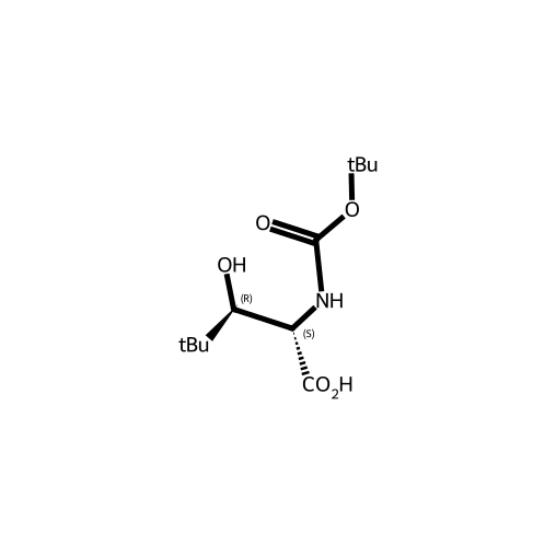 CC(C)(C)OC(=O)N[C@H](C(=O)O)[C@H](O)C(C)(C)C